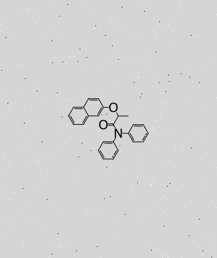 CC(Oc1ccc2ccccc2c1)C(=O)N(c1ccccc1)c1ccccc1